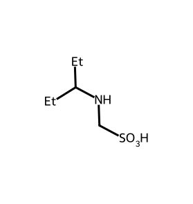 CCC(CC)NCS(=O)(=O)O